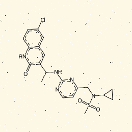 CC(Nc1nccc(CN(C2CC2)S(C)(=O)=O)n1)c1cc2cc(Cl)ccc2[nH]c1=O